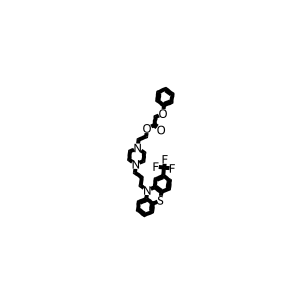 O=C(COc1ccccc1)OCCN1CCN(CCCN2c3ccccc3Sc3ccc(C(F)(F)F)cc32)CC1